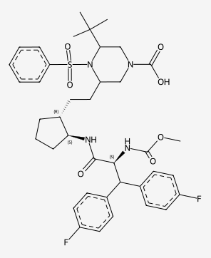 COC(=O)N[C@H](C(=O)N[C@H]1CCC[C@@H]1CCC1CN(C(=O)O)CC(C(C)(C)C)N1S(=O)(=O)c1ccccc1)C(c1ccc(F)cc1)c1ccc(F)cc1